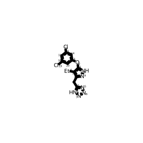 CCc1c(Cc2nnn[nH]2)n[nH]c1Oc1cc(Cl)cc(Cl)c1